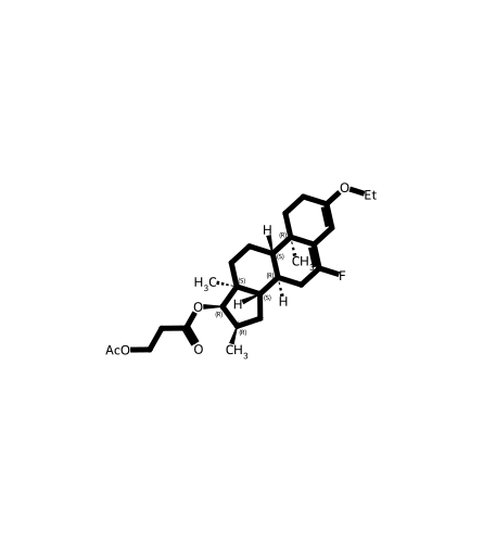 CCOC1=CC2=C(F)C[C@H]3[C@@H]4C[C@@H](C)[C@@H](OC(=O)CCOC(C)=O)[C@@]4(C)CC[C@@H]3[C@@]2(C)CC1